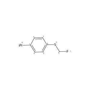 CC(C)c1ccc(SCF)cc1